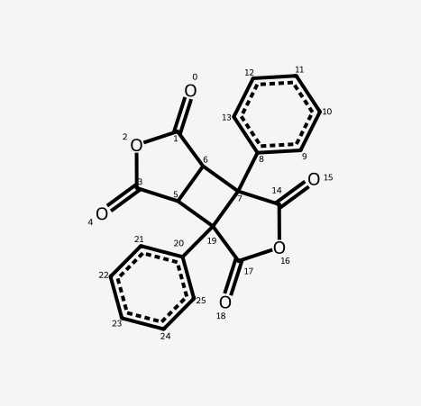 O=C1OC(=O)C2C1C1(c3ccccc3)C(=O)OC(=O)C21c1ccccc1